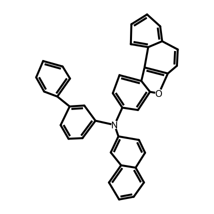 c1ccc(-c2cccc(N(c3ccc4ccccc4c3)c3ccc4c(c3)oc3ccc5ccccc5c34)c2)cc1